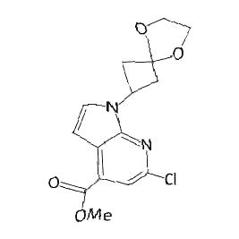 COC(=O)c1cc(Cl)nc2c1ccn2C1CC2(C1)OCCO2